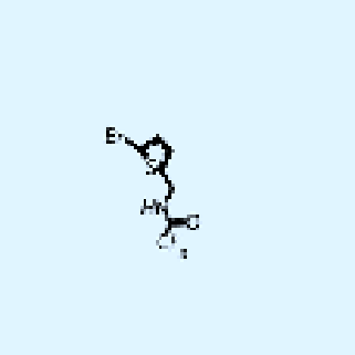 O=C(NCc1ccc(Br)s1)C(F)(F)F